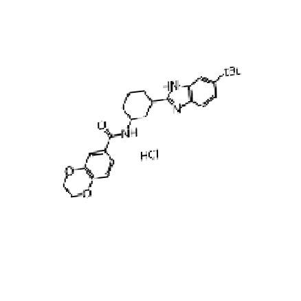 CC(C)(C)c1ccc2nc(C3CCCC(NC(=O)c4ccc5c(c4)OCCO5)C3)[nH]c2c1.Cl